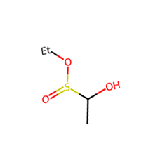 CCOS(=O)C(C)O